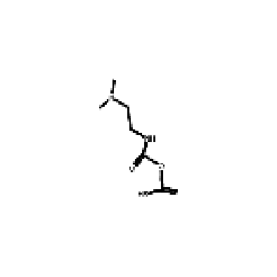 C=C(S)OC(=O)NCCN(C)C